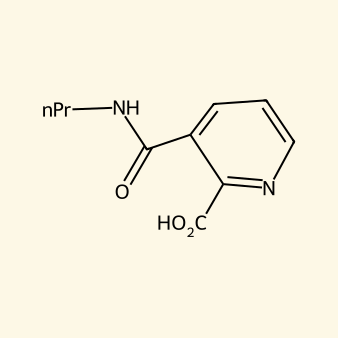 CCCNC(=O)c1cccnc1C(=O)O